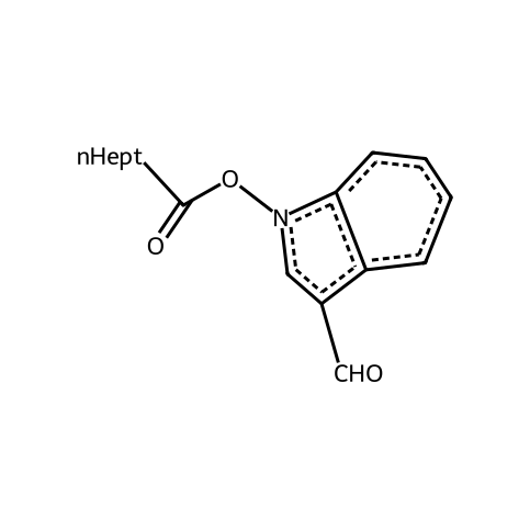 CCCCCCCC(=O)On1cc(C=O)c2ccccc21